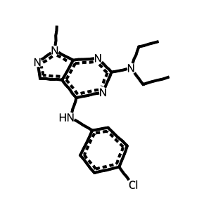 CCN(CC)c1nc(Nc2ccc(Cl)cc2)c2cnn(C)c2n1